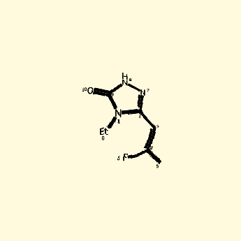 CCn1c(C=C(C)F)n[nH]c1=O